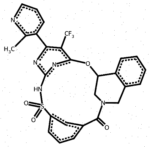 Cc1ncccc1-c1nc2nc(c1C(F)(F)F)OC1CN(Cc3ccccc31)C(=O)c1cccc(c1)S(=O)(=O)N2